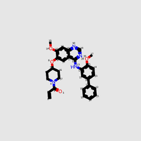 C=CC(=O)N1CCC(Oc2cc3c(Nc4cc(-c5ccccc5)ccc4OC)ncnc3cc2OC)CC1